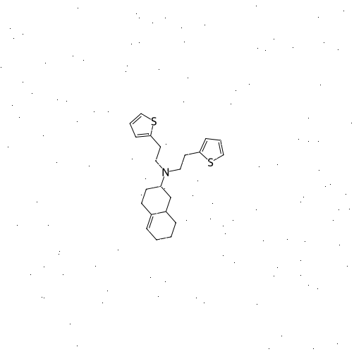 C1=C2CCC(N(CCc3cccs3)CCc3cccs3)CC2CCC1